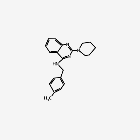 Cc1ccc(CNc2nc(N3CCCCC3)nc3ccccc23)cc1